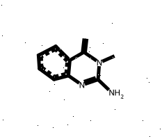 C=C1c2ccccc2N=C(N)N1C